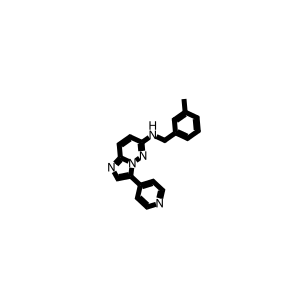 Cc1cccc(CNc2ccc3ncc(-c4ccncc4)n3n2)c1